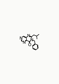 CC(C)Cc1nc2cncnc2c(=O)n1Cc1ccccc1